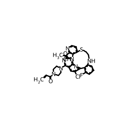 C=CC(=O)N1CCN(c2nc(=O)n3c4nc(c(Cl)cc24)-c2c(F)cccc2NCCSc2ccnc(C(C)C)c2-3)CC1